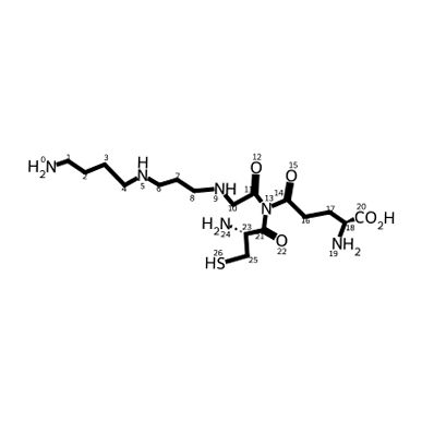 NCCCCNCCCNCC(=O)N(C(=O)CC[C@H](N)C(=O)O)C(=O)[C@@H](N)CS